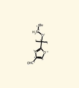 CC(C)(C)[SiH2]OC(C)(C)c1nc(C=O)co1